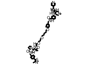 Cc1ncsc1-c1ccc(CNC(=O)[C@@H]2CCCN2C(=O)[C@@H](NC(=O)COCCCOCCCCCOc2ccc(CNC(=O)c3cccc(NC4(c5nnc(-c6ccncc6)[nH]5)CCN(C)CC4)c3)cc2)C(C)(C)C)cc1